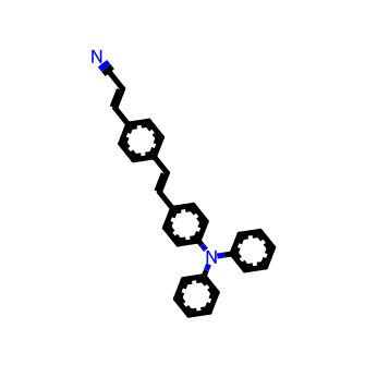 N#C/C=C/c1ccc(/C=C/c2ccc(N(c3ccccc3)c3ccccc3)cc2)cc1